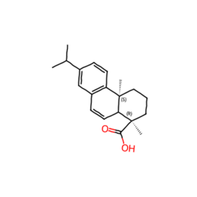 CC(C)c1ccc2c(c1)C=CC1[C@](C)(C(=O)O)CCC[C@]21C